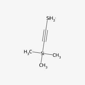 C[Si](C)(C)C#C[SiH2]